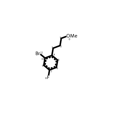 COCCCc1ccc(F)cc1Br